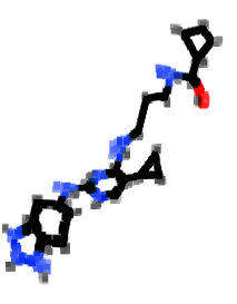 O=C(NCCCNc1nc(Nc2ccc3[nH]nnc3c2)ncc1C1CC1)C1CCC1